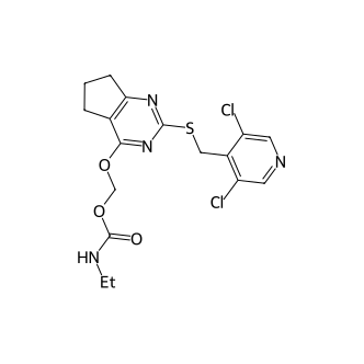 CCNC(=O)OCOc1nc(SCc2c(Cl)cncc2Cl)nc2c1CCC2